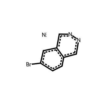 Brc1ccc2cnncc2c1.[N]